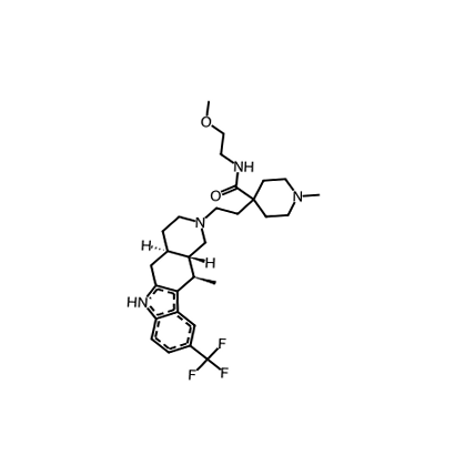 COCCNC(=O)C1(CCN2CC[C@@H]3Cc4[nH]c5ccc(C(F)(F)F)cc5c4[C@H](C)[C@H]3C2)CCN(C)CC1